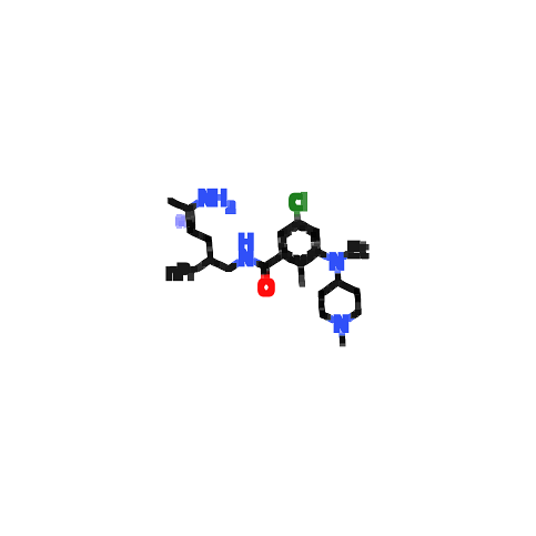 CCCC(C/C=C(/C)N)CNC(=O)c1cc(Cl)cc(N(CC)C2CCN(C)CC2)c1C